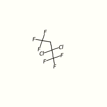 FC(F)(F)CC(Cl)(Cl)C(F)(F)F